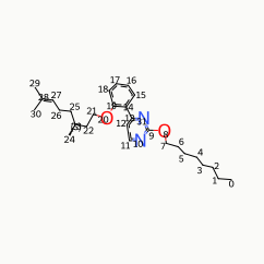 CCCCCCCCOc1nccc(-c2ccccc2OCC[C@@H](C)CCC=C(C)C)n1